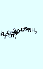 CC(C)(C)c1ccc(S(=O)(=O)N2CCC(c3ccc(OCCN)cc3)CC2)cc1